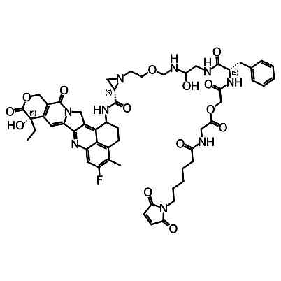 CC[C@@]1(O)C(=O)OCc2c1cc1n(c2=O)Cc2c-1nc1cc(F)c(C)c3c1c2C(NC(=O)[C@@H]1CN1CCOCNC(O)CNC(=O)[C@H](Cc1ccccc1)NC(=O)COC(=O)CNC(=O)CCCCCN1C(=O)C=CC1=O)CC3